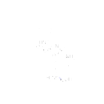 CCOC(=O)N[C@H](CC1CCCCC1)C(=O)N1CCC[C@H]1C(=O)C(N)C1CCC(/C(N)=N\O)CC1